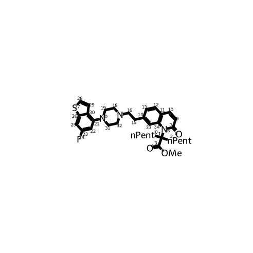 CCCCCC(CCCCC)(C(=O)OC)n1c(=O)ccc2ccc(CCN3CCN(c4cc(F)cc5sccc45)CC3)cc21